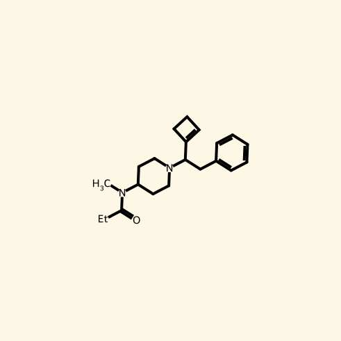 CCC(=O)N(C)C1CCN(C(Cc2ccccc2)C2=CCC2)CC1